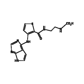 O=C(O)NCCNC(=O)c1sccc1Nc1ncnc2[nH]ccc12